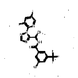 CC(NC(=O)c1cc(Cl)cc(C(F)(F)F)c1)c1ncnn1-c1ncc(F)cc1I